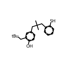 CC(C)(C)Cc1cc(CC(C)(C)Cc2ccccc2S)ccc1O